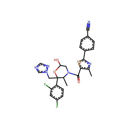 Cc1nc(-c2ccc(C#N)cc2)sc1C(=O)N1CC(O)OC(Cn2cncn2)(c2ccc(F)cc2F)C1C